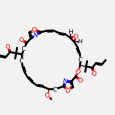 C/C=C/C(=O)C(C)(C)C1C\C=C/C=C\C=C\[C@H](OC)Cc2nc(co2)C(=O)O[C@H](C(C)(C)C(=O)/C=C/C)C/C=C\[C@H]2O[C@H]2/C=C/C=C\c2nc(co2)C(=O)C1